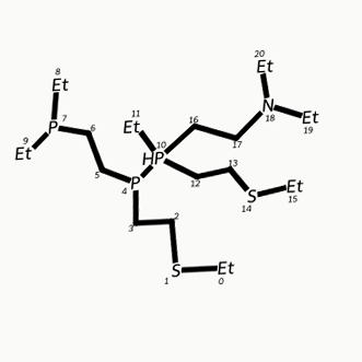 CCSCCP(CCP(CC)CC)[PH](CC)(CCSCC)CCN(CC)CC